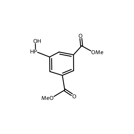 COC(=O)c1cc(PO)cc(C(=O)OC)c1